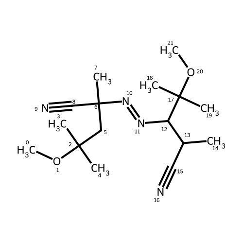 COC(C)(C)CC(C)(C#N)/N=N/C(C(C)C#N)C(C)(C)OC